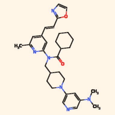 Cc1cc(C=Cc2ncco2)cc(N(CC2CCN(c3cncc(N(C)C)c3)CC2)C(=O)C2CCCCC2)n1